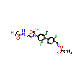 CC(=O)NC[C@H]1CN(c2cc(F)c(-c3ccc(/C=N/OC(C)=O)c(F)c3)c(F)c2)C(=O)O1